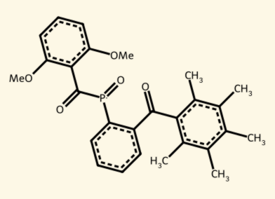 COc1cccc(OC)c1C(=O)[P](=O)c1ccccc1C(=O)c1c(C)c(C)c(C)c(C)c1C